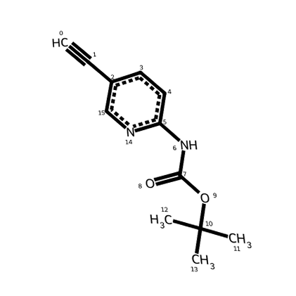 C#Cc1ccc(NC(=O)OC(C)(C)C)nc1